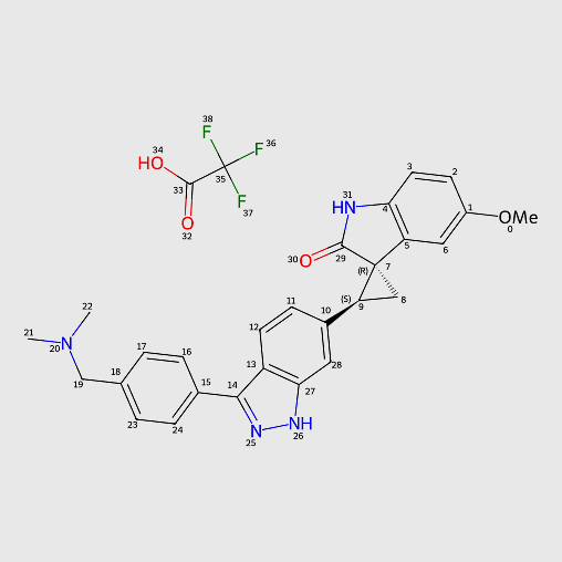 COc1ccc2c(c1)[C@]1(C[C@H]1c1ccc3c(-c4ccc(CN(C)C)cc4)n[nH]c3c1)C(=O)N2.O=C(O)C(F)(F)F